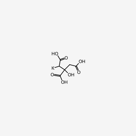 O=C(O)CC(O)(C(=O)O)[CH]([K])C(=O)O